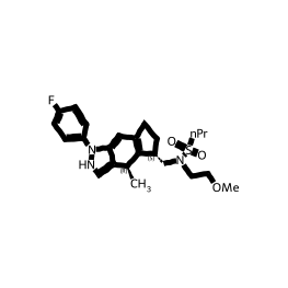 CCCS(=O)(=O)N(CCOC)C[C@H]1CCC2=C1[C@@H](C)C1=CNN(c3ccc(F)cc3)C1=C2